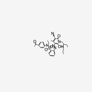 CCCCC(CC)Cn1c(O)c(/N=N/c2ccccc2S(=O)(=O)N(CC)c2ccc(C(C)=O)cc2)c(C)c(C#N)c1=O